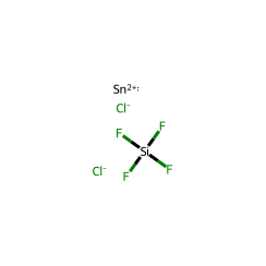 F[Si](F)(F)F.[Cl-].[Cl-].[Sn+2]